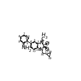 CN1c2cc(-c3ncccc3N)ccc2N(CC2CC2)S1(=O)=O